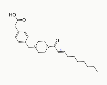 CCCCCCC/C=C/C(=O)N1CCN(Cc2ccc(CC(=O)O)cc2)CC1